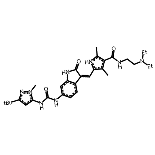 CCN(CC)CCNC(=O)c1c(C)[nH]c(/C=C2\C(=O)Nc3cc(NC(=O)Nc4cc(C(C)(C)C)nn4C)ccc32)c1C